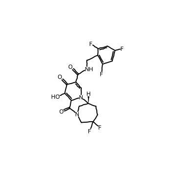 O=C(NCc1c(F)cc(F)cc1F)c1cn2c(c(O)c1=O)C(=O)N1C[C@H]2CCC(F)(F)C1